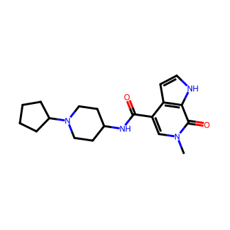 Cn1cc(C(=O)NC2CCN(C3CCCC3)CC2)c2cc[nH]c2c1=O